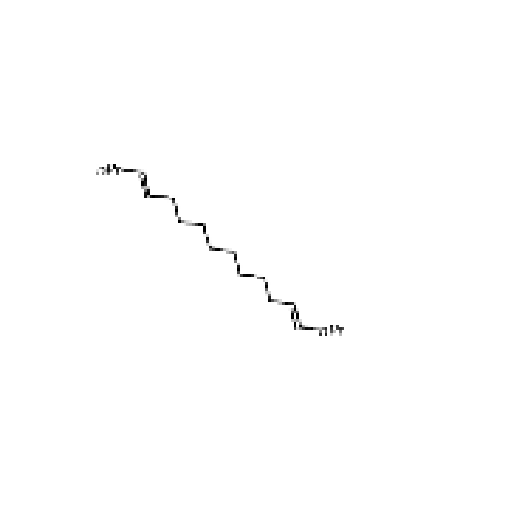 CCC/C=C/CCCCCCCC/C=C/CCC